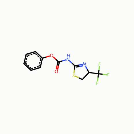 O=C(NC1=NC(C(F)(F)F)CS1)Oc1ccccc1